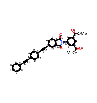 COC(=O)c1cc(C(=O)OC)cc(N2C(=O)c3ccc(C#Cc4ccc(C#Cc5ccccc5)cc4)cc3C2=O)c1